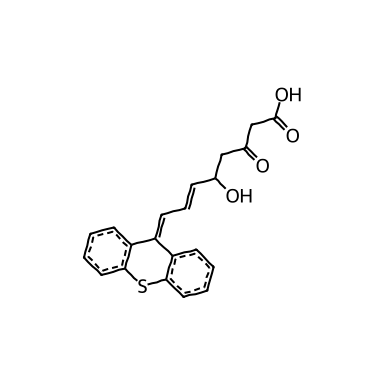 O=C(O)CC(=O)CC(O)C=CC=C1c2ccccc2Sc2ccccc21